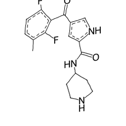 Cc1ccc(F)c(C(=O)c2c[nH]c(C(=O)NC3CCNCC3)c2)c1F